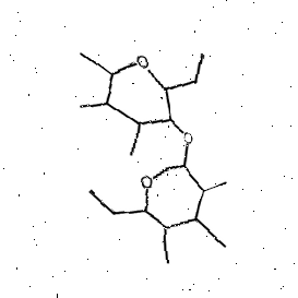 CCC1OC(OC2C(CC)OC(C)C(C)C2C)C(C)C(C)C1C